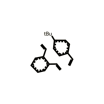 C=Cc1ccc(C(C)(C)C)cc1.C=Cc1ccccc1C=C